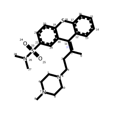 C/C(CCN1CCN(C)CC1)=C1\c2ccccc2Sc2ccc(S(=O)(=O)N(C)C)cc21